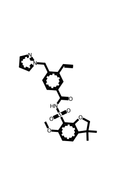 C=Cc1cc(C(=O)NS(=O)(=O)c2c(OC)ccc3c2OCC3(C)C)ccc1Cn1cccn1